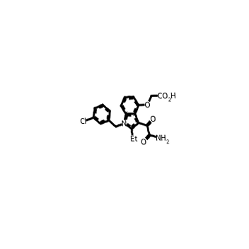 CCc1c(C(=O)C(N)=O)c2c(OCC(=O)O)cccc2n1Cc1cccc(Cl)c1